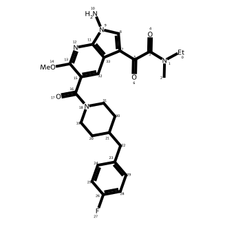 CCN(C)C(=O)C(=O)c1cn(N)c2nc(OC)c(C(=O)N3CCC(Cc4ccc(F)cc4)CC3)cc12